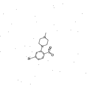 CN1CCN(c2cc(Br)ccc2[SH](=O)=O)CC1